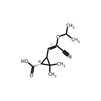 CC(C)O/C(C#N)=C/C1[C@@H](C(=O)O)C1(C)C